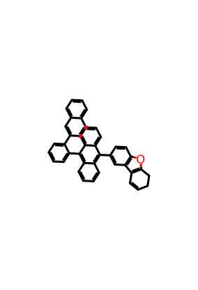 C1=Cc2c(oc3ccc(-c4c5ccccc5c(-c5ccccc5-c5ccc6ccccc6c5)c5ccccc45)cc23)CC1